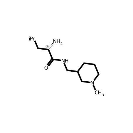 CC(C)C[C@H](N)C(=O)NCC1CCCN(C)C1